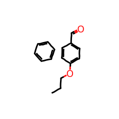 CCCOc1ccc(C=O)cc1.c1ccccc1